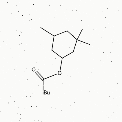 CCC(C)C(=O)OC1CC(C)CC(C)(C)C1